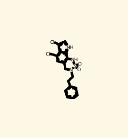 O=S1(=O)Nc2c(cc(Cl)c3c(Cl)c[nH]c23)CN1CCc1ccccc1